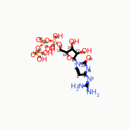 NC(N)=Nc1ccn(C2OC(COP(=O)(O)OP(=O)(O)OP(=O)(O)O)C(O)C2O)c(=O)n1